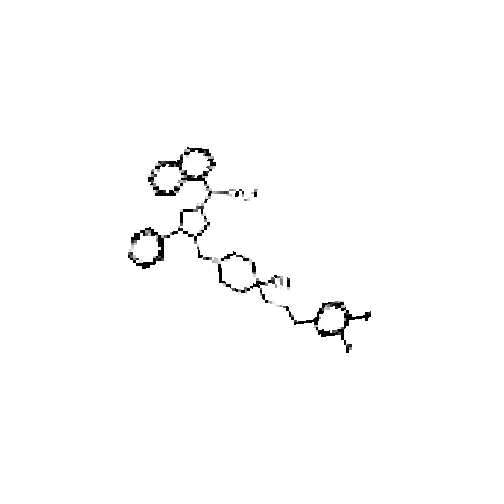 O=C(O)C(c1cccc2ccccc12)N1CC(CN2CCC(O)(CCCc3ccc(F)c(F)c3)CC2)C(c2ccccc2)C1